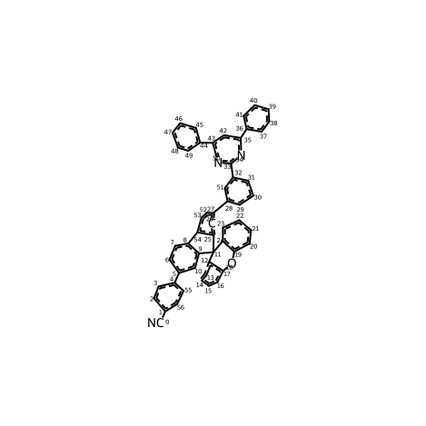 N#Cc1ccc(-c2ccc3c(c2)C2(c4ccccc4Oc4ccccc42)c2cc(-c4cccc(-c5nc(-c6ccccc6)cc(-c6ccccc6)n5)c4)ccc2-3)cc1